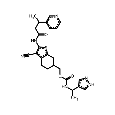 CC(CC(=O)Nc1sc2c(c1C#N)CCC(COC(=O)NC(C)c1cn[nH]c1)C2)c1cccnc1